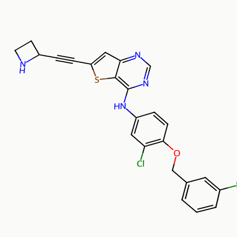 Fc1cccc(COc2ccc(Nc3ncnc4cc(C#CC5CCN5)sc34)cc2Cl)c1